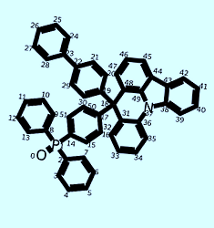 O=P(c1ccccc1)(c1ccccc1)c1ccc(C2(c3ccc(-c4ccccc4)cc3)c3ccccc3-n3c4ccccc4c4cccc2c43)cc1